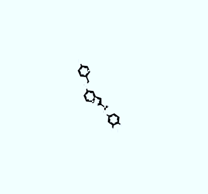 Cc1cc(NC(=O)c2cc3cc(NCc4ccc(F)cc4)ccc3o2)ccc1C(F)(F)F